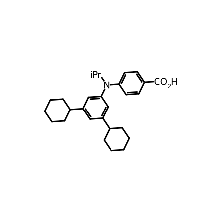 CC(C)N(c1ccc(C(=O)O)cc1)c1cc(C2CCCCC2)cc(C2CCCCC2)c1